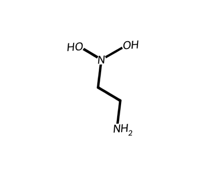 NCCN(O)O